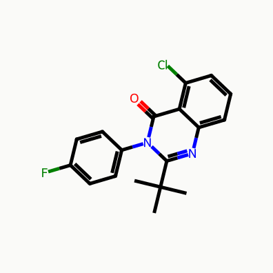 CC(C)(C)c1nc2cccc(Cl)c2c(=O)n1-c1ccc(F)cc1